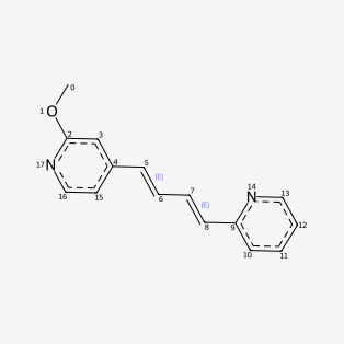 COc1cc(/C=C/C=C/c2ccccn2)ccn1